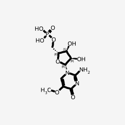 COc1cn([C@@H]2O[C@H](COP(=O)(O)O)[C@@H](O)[C@H]2O)c(N)nc1=O